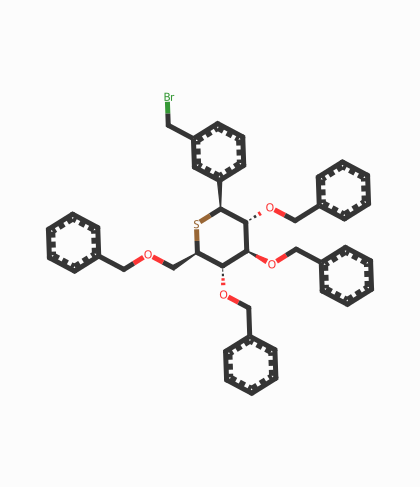 BrCc1cccc([C@@H]2S[C@H](COCc3ccccc3)[C@@H](OCc3ccccc3)[C@H](OCc3ccccc3)[C@H]2OCc2ccccc2)c1